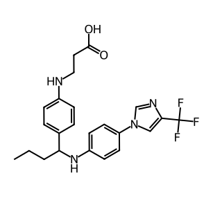 CCCC(Nc1ccc(-n2cnc(C(F)(F)F)c2)cc1)c1ccc(NCCC(=O)O)cc1